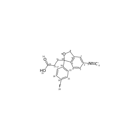 [C-]#[N+]c1ccc2c(c1)COC2(CCC(=O)O)c1ccc(F)cc1